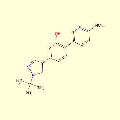 BC(B)(B)n1cc(-c2ccc(-c3ccc(NC)nn3)c(O)c2)cn1